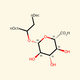 CCCCCCCCCCCC(CCCCCCCC)O[C@@H]1O[C@H](C(=O)O)[C@@H](O)[C@H](O)[C@H]1O